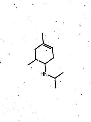 CC1=CCC(NC(C)C)C(C)C1